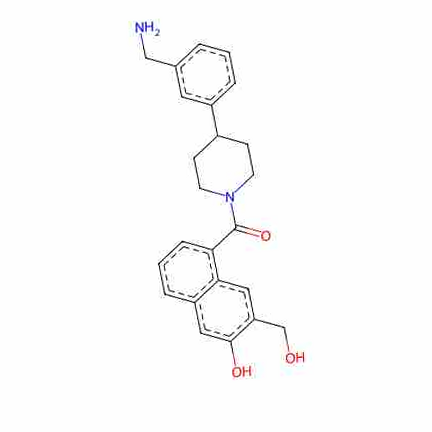 NCc1cccc(C2CCN(C(=O)c3cccc4cc(O)c(CO)cc34)CC2)c1